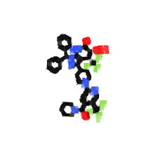 O=C1Nc2c(c(C3CCN(c4cc(C(=O)N5CCCCC5)c(C(F)(F)F)cn4)CC3)nn2C(c2ccccc2)c2ccccc2)[C@@H](C(F)(F)F)[C@H]1O